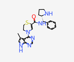 Cc1c[nH]c2ncnc(N3C=C(C(=O)NC(c4ccccc4)[C@@H]4CCCN4)SCC3)c12